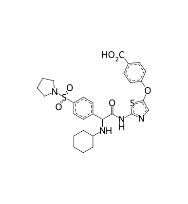 O=C(O)c1ccc(Oc2cnc(NC(=O)C(NC3CCCCC3)c3ccc(S(=O)(=O)N4CCCC4)cc3)s2)cc1